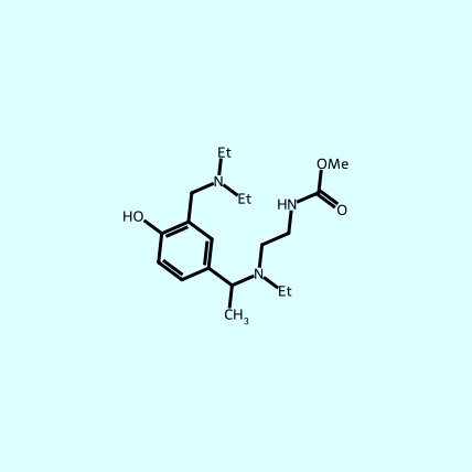 CCN(CC)Cc1cc(C(C)N(CC)CCNC(=O)OC)ccc1O